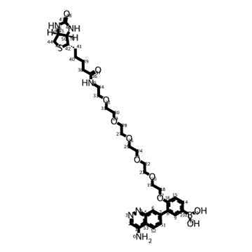 Nc1cnnc2cc(-c3cc(B(O)O)ccc3OCCOCCOCCOCCOCCOCCNC(=O)CCCC[C@@H]3SC[C@@H]4NC(=O)N[C@@H]43)ccc12